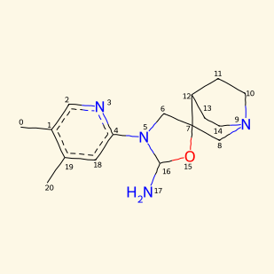 Cc1cnc(N2CC3(CN4CCC3CC4)OC2N)cc1C